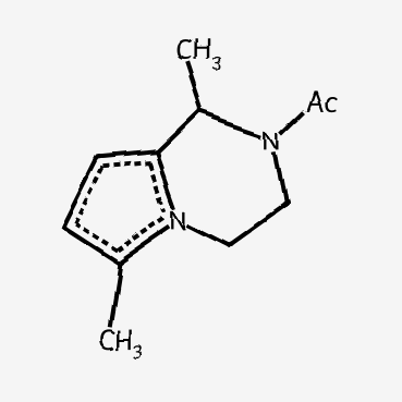 CC(=O)N1CCn2c(C)ccc2C1C